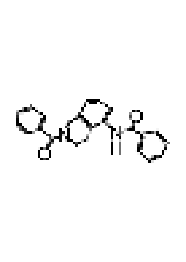 O=C(Nc1cccc2c1CCN(C(=O)c1ccccc1)C2)c1ccccc1